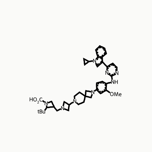 COc1cc(N2CC3(CCN(C4CN(CC5CN(C(=O)O)C5C(C)(C)C)C4)CC3)C2)ccc1Nc1nccc(-c2cn(C3CC3)c3ccccc23)n1